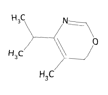 CC1=C(C(C)C)N=COC1